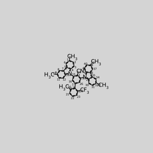 Cc1ccc2c(c1)c1cc(C)ccc1n2-c1cc(-c2c(C)cccc2C(F)(F)F)cc(-n2c3ccc(C)cc3c3cc(C)ccc32)c1C#N